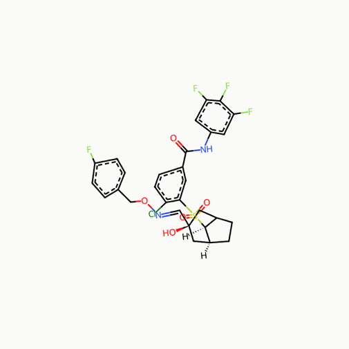 O=C(Nc1cc(F)c(F)c(F)c1)c1ccc(Cl)c(S(=O)(=O)[C@H]2C3CC[C@H]2C[C@](O)(/C=N/OCc2ccc(F)cc2)C3)c1